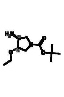 CCO[C@H]1CN(C(=O)OC(C)(C)C)C[C@@H]1N